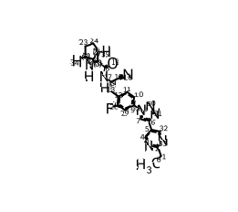 CCc1ncc(-c2cn(-c3ccc(C[C@@H](C#N)NC(=O)[C@H]4N[C@@H]5CC[C@H]4C5)c(F)c3)nn2)cn1